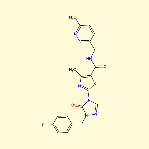 Cc1ccc(CNC(=O)c2sc(-n3cnn(Cc4ccc(F)cc4)c3=O)nc2C)cn1